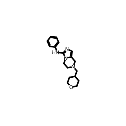 c1ccc(Nc2ncc3n2CCN(CC2CCOCC2)C3)cc1